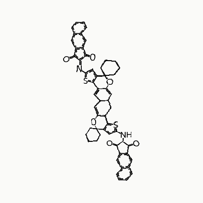 O=C1c2cc3ccccc3cc2C(=O)C1Nc1cc2c(s1)C1CC3C=C4OC5(CCCCC5)c5cc(N=c6c(=O)c7cc8ccccc8cc7c6=O)sc5C4=CC3C=C1OC21CCCCC1